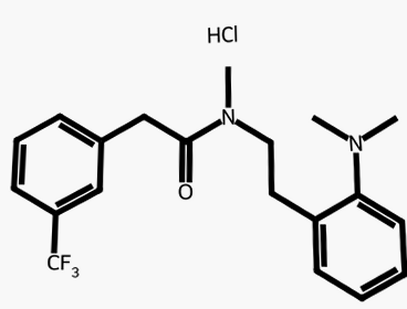 CN(CCc1ccccc1N(C)C)C(=O)Cc1cccc(C(F)(F)F)c1.Cl